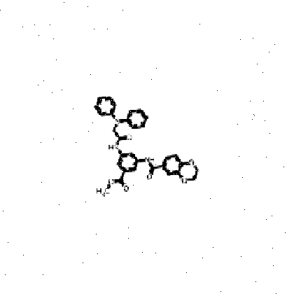 COC(=O)c1cc(NC(=O)CN(c2ccccc2)c2ccccc2)cc(NC(=O)c2ccc3c(c2)OCCO3)c1